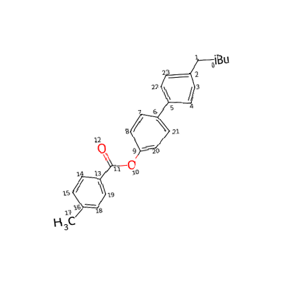 CCC(C)Cc1ccc(-c2ccc(OC(=O)c3ccc(C)cc3)cc2)cc1